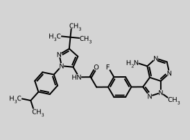 CC(C)c1ccc(-n2nc(C(C)(C)C)cc2NC(=O)Cc2ccc(-c3nn(C)c4ncnc(N)c34)cc2F)cc1